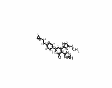 CCc1cnc(-c2cc(-c3ccc(CCC4CC4)cc3)[nH]c(=O)c2-c2nn[nH]n2)s1